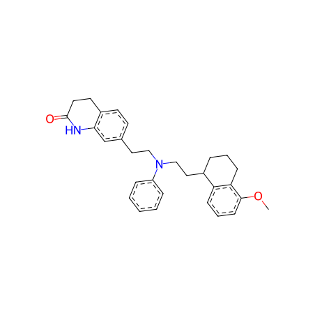 COc1cccc2c1CCCC2CCN(CCc1ccc2c(c1)NC(=O)CC2)c1ccccc1